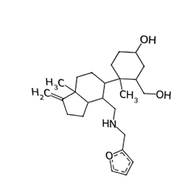 C=C1CCC2C(CNCc3ccco3)C(C3(C)CCC(O)CC3CO)CCC12C